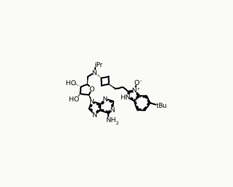 CC(C)N(C[C@H]1O[C@@H](n2cnc3c(N)ncnc32)[C@H](O)[C@@H]1O)[C@H]1C[C@H](CCc2[nH]c3ccc(C(C)(C)C)cc3[n+]2[O-])C1